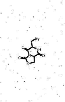 CC(C)CC1NC(=O)C2CSC(=O)N2C1=O